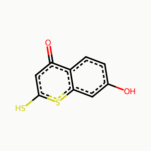 O=c1cc(S)sc2cc(O)ccc12